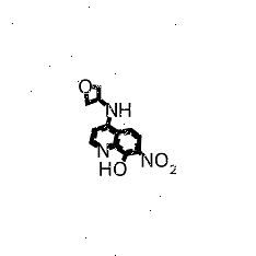 O=[N+]([O-])c1ccc2c(NC3COC3)ccnc2c1O